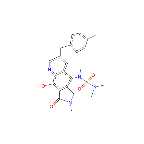 Cc1ccc(Cc2cnc3c(O)c4c(c(N(C)S(=O)(=O)N(C)C)c3c2)CN(C)C4=O)cc1